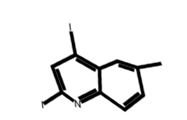 Cc1ccc2nc(I)cc(I)c2c1